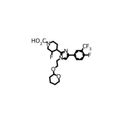 O=C(O)N1CCC(c2nc(-c3ccc(F)c(C(F)(F)F)c3)cn2CCOC2CCCCO2)C(F)C1